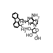 Cc1cccc2c1C(CNc1nc(N)c3ncn([C@@H]4O[C@H](CO)[C@@H](O)[C@H]4O)c3n1)c1ccccc1-2